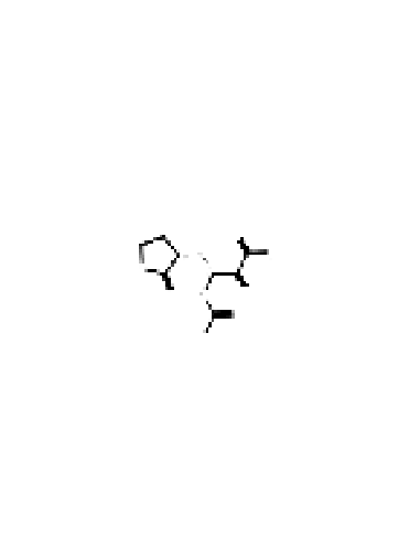 CC(=O)N[C@@H](C[C@@H]1CCNC1=O)C(=O)C(N)=O